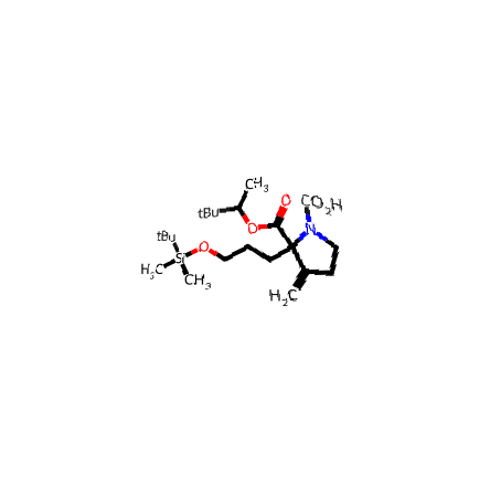 C=C1CCN(C(=O)O)C1(CCCO[Si](C)(C)C(C)(C)C)C(=O)OC(C)C(C)(C)C